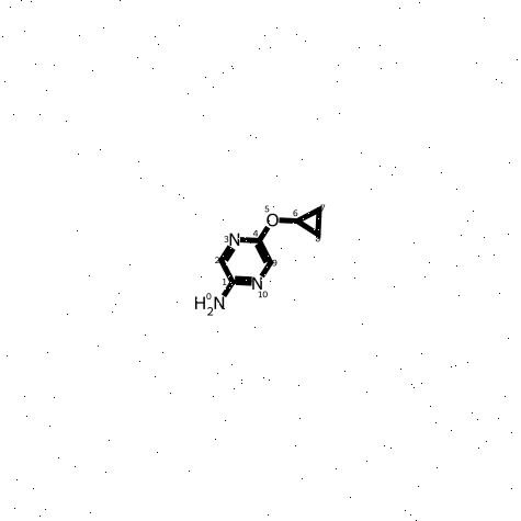 Nc1cnc(OC2CC2)cn1